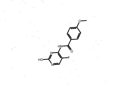 COc1ccc(C(=O)Nc2nc(O)ncc2F)cc1